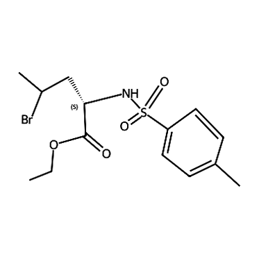 CCOC(=O)[C@H](CC(C)Br)NS(=O)(=O)c1ccc(C)cc1